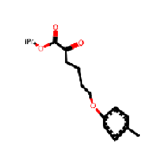 Cc1ccc(OCCCCC(=O)C(=O)OC(C)C)cc1